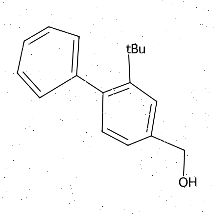 CC(C)(C)c1cc(CO)ccc1-c1ccccc1